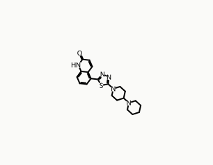 O=c1ccc2c(-c3nnc(N4CCC(N5CCCCC5)CC4)s3)cccc2[nH]1